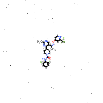 CC(=NOc1ccnc(C(F)(F)F)c1)c1cnc(C)nc1C1CCN(C(=O)Nc2c(F)cccc2F)CC1